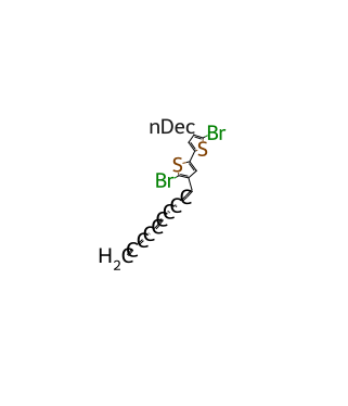 C=C=C=C=C=C=C=C=C=Cc1cc(-c2cc(CCCCCCCCCC)c(Br)s2)sc1Br